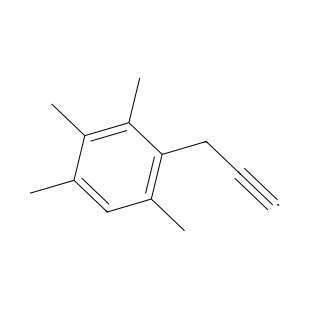 [C]#CCc1c(C)cc(C)c(C)c1C